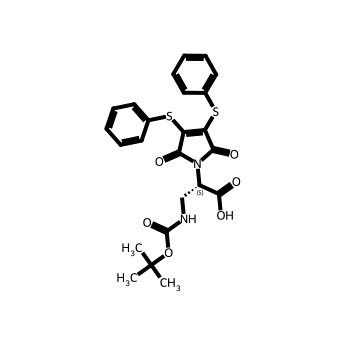 CC(C)(C)OC(=O)NC[C@@H](C(=O)O)N1C(=O)C(Sc2ccccc2)=C(Sc2ccccc2)C1=O